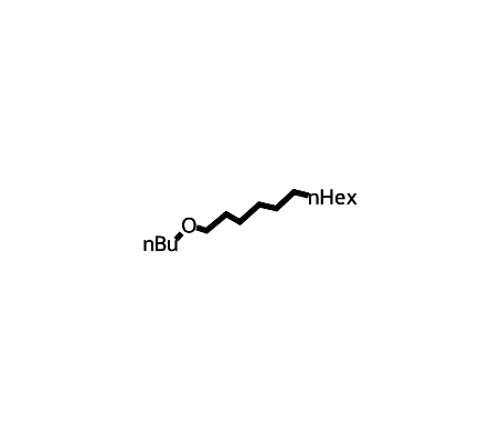 [CH2]CCCOCCCCCCCCCCCC